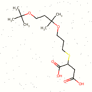 CC(C)(C)OCCC(C)(C)OCCCSC(CC(=O)O)C(=O)O